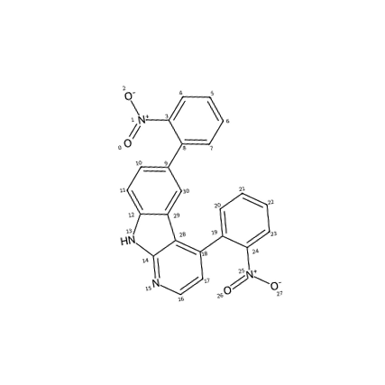 O=[N+]([O-])c1ccccc1-c1ccc2[nH]c3nccc(-c4ccccc4[N+](=O)[O-])c3c2c1